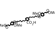 COC(=O)C=Cc1ccc(OOCCCCCCc2ccc(CCCCCCOOc3ccc(C=CC(=O)OC)cc3OC)c(C(=O)O)c2)c(OC)c1